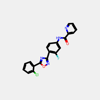 O=C(Nc1ccc(-c2noc(-c3ccccc3Cl)n2)c(F)c1)c1ccccn1